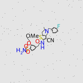 COCCOc1cc(CC(=O)Nc2sc3c(c2C#N)CN(Cc2cccc(F)c2)C(C)C3)ccc1S(N)(=O)=O